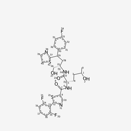 CC(O)CC[C@H](NC(=O)c1cnc(-c2c(F)cccc2F)s1)C(=O)N[C@H](CO)CC(c1ccc(F)cc1)c1nccs1